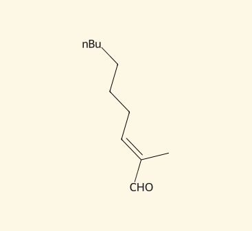 CCCCCCCC=C(C)C=O